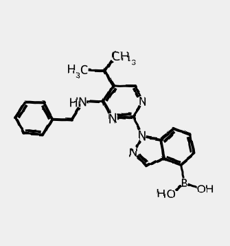 CC(C)c1cnc(-n2ncc3c(B(O)O)cccc32)nc1NCc1ccccc1